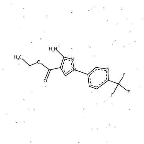 CCOC(=O)c1cn(-c2ccc(C(F)(F)F)nc2)nc1N